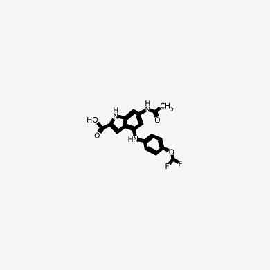 CC(=O)Nc1cc(Nc2ccc(OC(F)F)cc2)c2cc(C(=O)O)[nH]c2c1